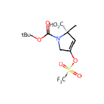 CC(C)(C)OC(=O)N1CC(OS(=O)(=O)C(F)(F)F)=C[C@@]1(C)C(=O)O